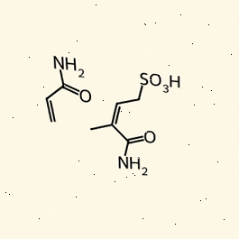 C=CC(N)=O.CC(=CCS(=O)(=O)O)C(N)=O